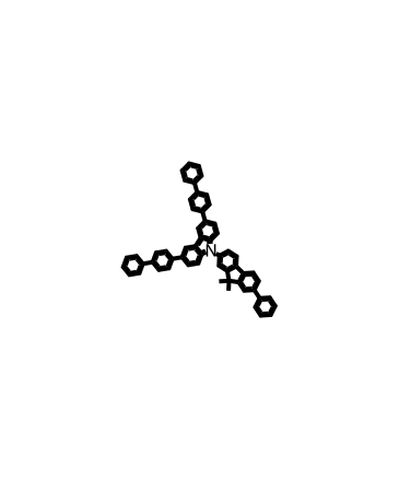 CC1(C)c2cc(-c3ccccc3)ccc2-c2ccc(-n3c4ccc(-c5ccc(-c6ccccc6)cc5)cc4c4cc(-c5ccc(-c6ccccc6)cc5)ccc43)cc21